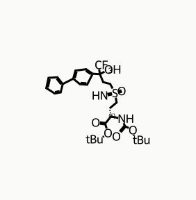 CC(C)(C)OC(=O)N[C@@H](CCS(=N)(=O)CCC(O)(c1ccc(-c2ccccc2)cc1)C(F)(F)F)C(=O)OC(C)(C)C